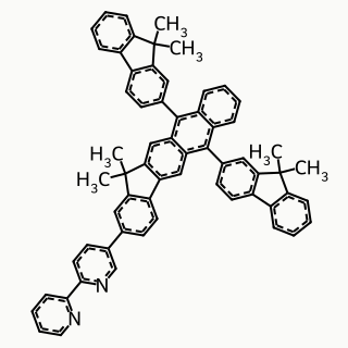 CC1(C)c2ccccc2-c2ccc(-c3c4ccccc4c(-c4ccc5c(c4)C(C)(C)c4ccccc4-5)c4cc5c(cc34)-c3ccc(-c4ccc(-c6ccccn6)nc4)cc3C5(C)C)cc21